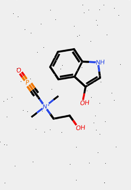 C[N+](C)(C#P=O)CCO.Oc1c[nH]c2ccccc12